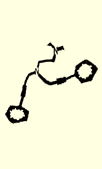 CN(C)CCN(CC#Cc1ccccc1)CC#Cc1ccccc1